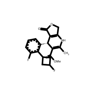 COC(=O)C1=C(C)NC2=C(C(=O)OC2)[C@H]1c1cccc(F)c1C1CC(F)C1